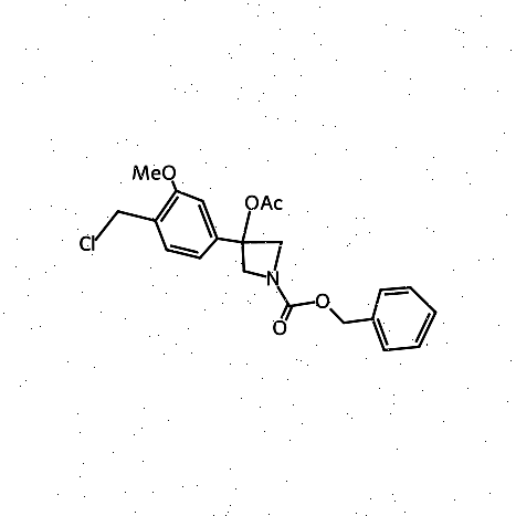 COc1cc(C2(OC(C)=O)CN(C(=O)OCc3ccccc3)C2)ccc1CCl